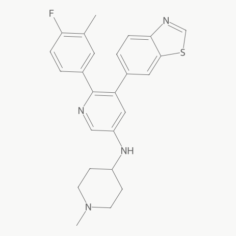 Cc1cc(-c2ncc(NC3CCN(C)CC3)cc2-c2ccc3ncsc3c2)ccc1F